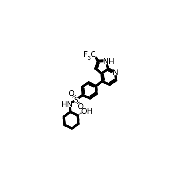 O=S(=O)(NC1CCCC[C@H]1O)c1ccc(-c2ccnc3[nH]c(C(F)(F)F)cc23)cc1